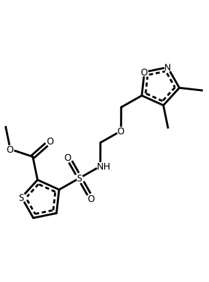 COC(=O)c1sccc1S(=O)(=O)NCOCc1onc(C)c1C